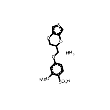 COc1cc(OCC2COc3cscc3O2)ccc1S(=O)(=O)O.N